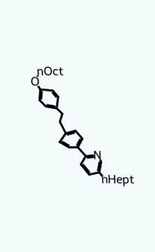 CCCCCCCCOc1ccc(CCc2ccc(-c3ccc(CCCCCCC)cn3)cc2)cc1